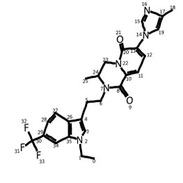 CCn1cc(CCN2C(=O)c3ccc(-n4cnc(C)c4)c(=O)n3CC2C)c2ccc(C(F)(F)F)cc21